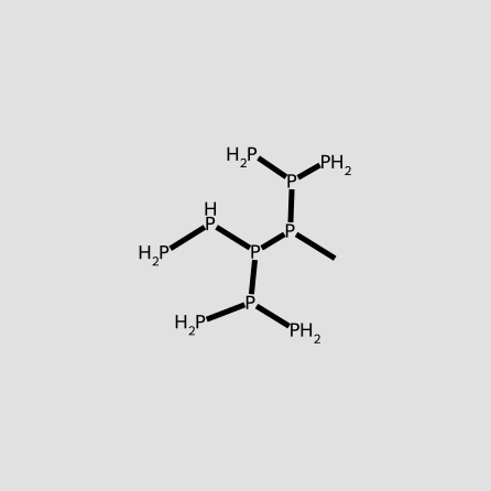 CP(P(P)P)P(PP)P(P)P